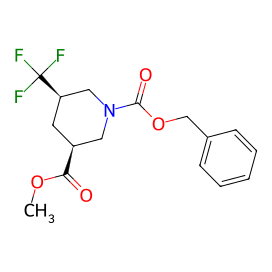 COC(=O)[C@H]1C[C@@H](C(F)(F)F)CN(C(=O)OCc2ccccc2)C1